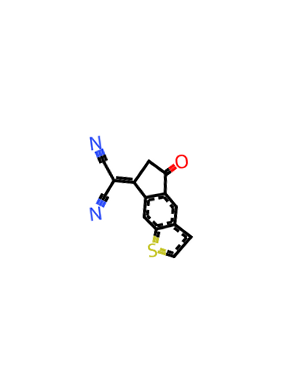 N#CC(C#N)=C1CC(=O)c2cc3ccsc3cc21